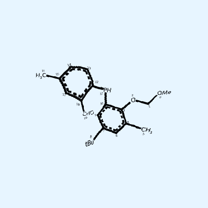 COCOc1c(C)cc(C(C)(C)C)cc1Pc1ccc(C)cc1C=O